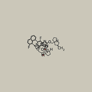 C#Cc1c(F)ccc2cccc(-c3nc4c5c(nc(OCC67CCCN6CC(=C)C7)nc5c3F)N3C[C@H]5CC[C@@H]([C@H]3CCO4)N5C(=O)OC(C)(C)C)c12